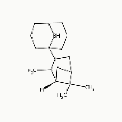 CC1C(C23BC(CCC2)CCC3)CC2C[C@@H]1C2(C)C